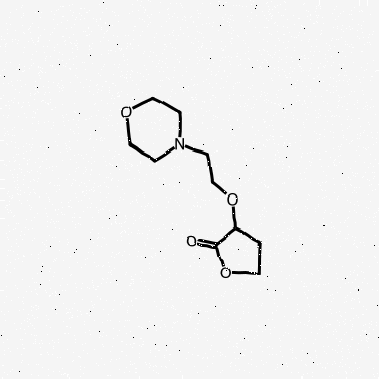 O=C1OCCC1OCCN1CCOCC1